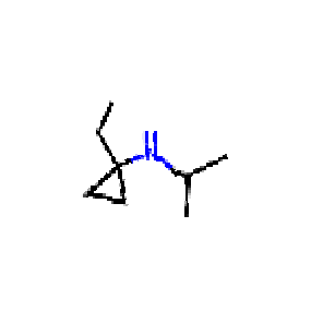 CCC1(NC(C)C)CC1